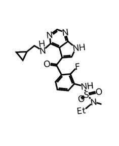 CCN(C)S(=O)(=O)Nc1cccc(C(=O)c2c[nH]c3ncnc(NCC4CC4)c23)c1F